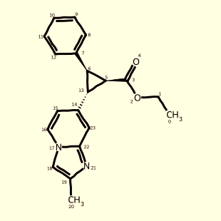 CCOC(=O)[C@@H]1[C@H](c2ccccc2)[C@H]1c1ccn2cc(C)nc2c1